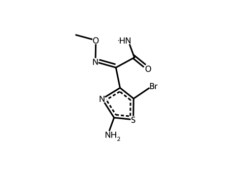 CON=C(C([NH])=O)c1nc(N)sc1Br